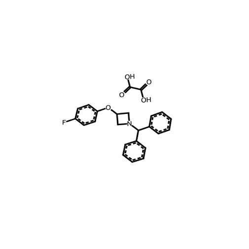 Fc1ccc(OC2CN(C(c3ccccc3)c3ccccc3)C2)cc1.O=C(O)C(=O)O